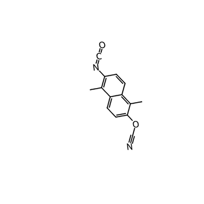 Cc1c(N=C=O)ccc2c(C)c(OC#N)ccc12